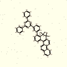 CC1(C)c2ccc3c(ccc4ccccc43)c2-c2cccc(-c3cccc(-c4nc(-c5ccccc5)nc(-c5ccccc5)n4)c3)c2C1(C)C